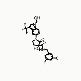 O=C(NCc1cc(F)cc(Cl)c1)C1(O)CCN(c2ccc3c(c2)c(C(F)(F)F)cn3CO)C1=O